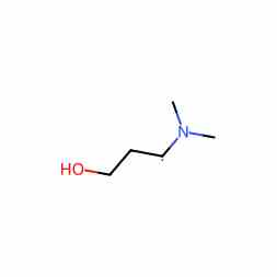 CN(C)[CH]CCO